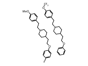 COc1ccc(CCN2CCC(CCOc3ccc(F)cc3)CC2)cc1.FC(F)(F)Oc1ccc(CCN2CCC(CCOc3ccccc3)CC2)cc1